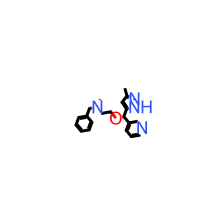 Cc1cc(C(OCCN(C)Cc2ccccc2)c2cccnc2)[nH]n1